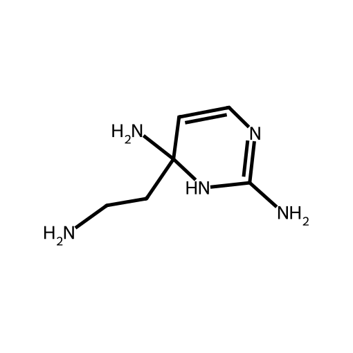 NCCC1(N)C=CN=C(N)N1